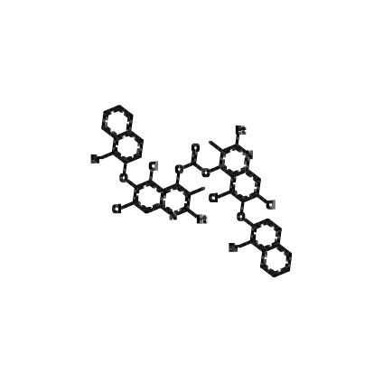 CCc1nc2cc(Cl)c(Oc3ccc4ccccc4c3Br)c(Cl)c2c(OC(=O)Oc2c(C)c(CC)nc3cc(Cl)c(Oc4ccc5ccccc5c4Br)c(Cl)c23)c1C